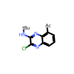 CC(=O)c1cccc2nc(Cl)c(NC(C)(C)C)nc12